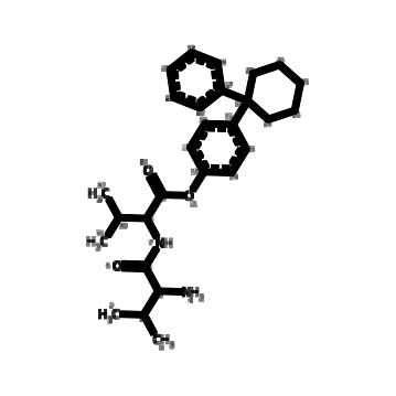 CC(C)C(N)C(=O)NC(C(=O)Oc1ccc(C2(c3ccccc3)CCCCC2)cc1)C(C)C